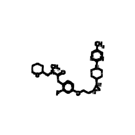 Cc1cnc(N2CCC([C@H]3C[C@H]3CCOc3ccc(CC(=O)N(C)CC4CCCCO4)c(F)c3)CC2)nc1